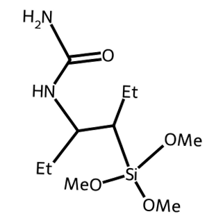 CCC(NC(N)=O)C(CC)[Si](OC)(OC)OC